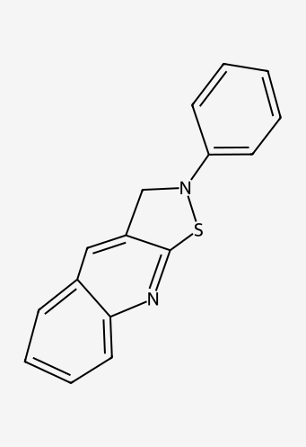 c1ccc(N2Cc3cc4ccccc4nc3S2)cc1